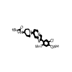 COc1cc(OC)c(-c2cn3ccc(N4CCC(NC(=O)C(C)(C)C)CC4)cc3n2)cc1Cl